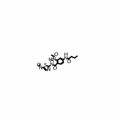 CCCC(=O)Nc1ccc(C(=O)Nc2ncc(N=O)s2)c(NC(C)=O)c1